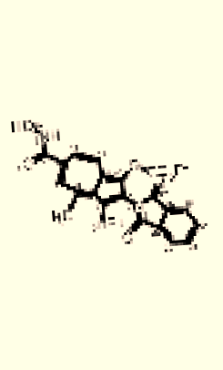 CCCCc1c2c(C)cc(C(=O)NO)ccc-2c(OC(=O)OCC)c1N1C(=O)c2ccccc2C1=O